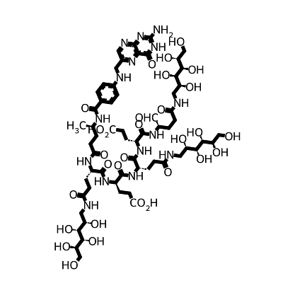 C[C@H](CCC(=O)N[C@@H](CCC(=O)NC[C@H](O)[C@@H](O)[C@H](O)[C@H](O)CO)C(=O)N[C@H](CCC(=O)O)C(=O)N[C@@H](CCC(=O)NC[C@H](O)[C@@H](O)[C@H](O)[C@H](O)CO)C(=O)N[C@H](CCC(=O)O)C(=O)N[C@H](C=O)CCC(=O)NC[C@H](O)[C@@H](O)[C@H](O)[C@H](O)CO)NC(=O)c1ccc(NCc2cnc3nc(N)[nH]c(=O)c3n2)cc1